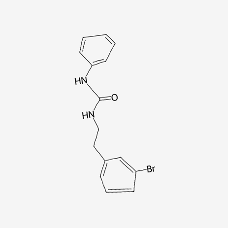 O=C(NCCc1cccc(Br)c1)Nc1ccccc1